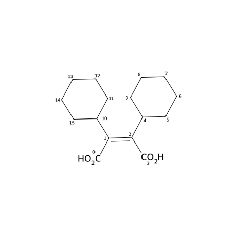 O=C(O)/C(=C(\C(=O)O)C1CCCCC1)C1CCCCC1